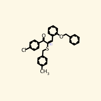 Cc1ccc(CS/C(=C/c2ccccc2OCc2ccccc2)C(=O)c2ccc(Cl)cc2)cc1